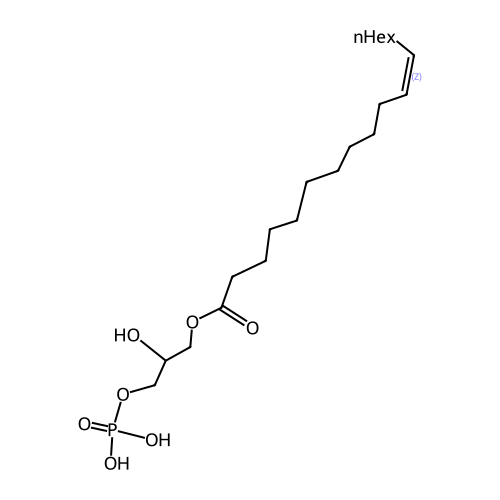 CCCCCC/C=C\CCCCCCCCCC(=O)OCC(O)COP(=O)(O)O